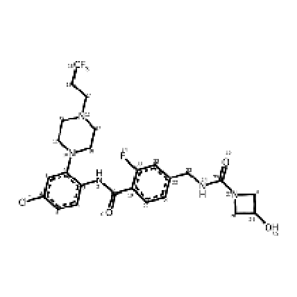 O=C(Nc1ccc(Cl)cc1N1CCN(CCC(F)(F)F)CC1)c1ccc(CNC(=O)N2CC(O)C2)cc1F